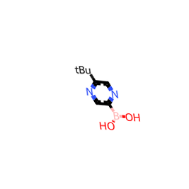 CC(C)(C)c1cnc(B(O)O)cn1